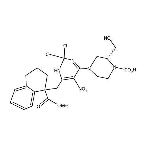 COC(=O)C1(CC2=C([N+](=O)[O-])C(N3CCN(C(=O)O)[C@@H](CC#N)C3)=NC(Cl)(Cl)N2)CCCc2ccccc21